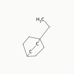 C[CH]C12CCC(CC1)CC2